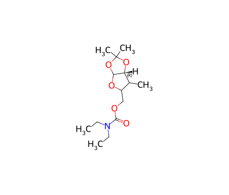 CCN(CC)C(=O)OCC1OC2OC(C)(C)O[C@@H]2C1C